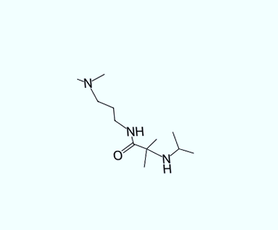 CC(C)NC(C)(C)C(=O)NCCCN(C)C